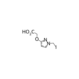 O=C(O)COc1ccn(CI)n1